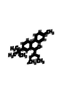 CCN(CC)C(=O)c1cc(C(C)(C)C)ccc1-c1ccc(C)cc1